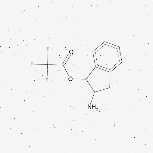 NC1Cc2ccccc2C1OC(=O)C(F)(F)F